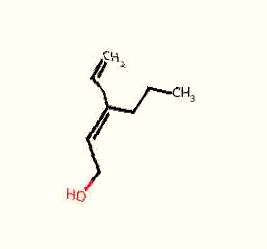 C=C/C(=C/CO)CCC